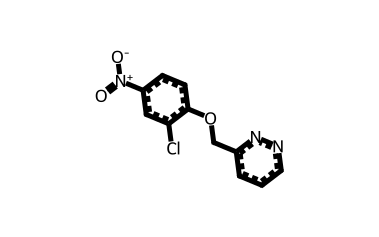 O=[N+]([O-])c1ccc(OCc2cccnn2)c(Cl)c1